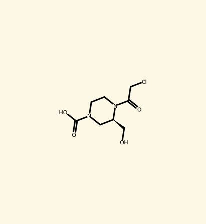 O=C(O)N1CCN(C(=O)CCl)[C@@H](CO)C1